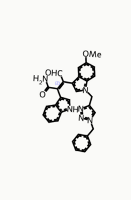 COc1ccc2c(c1)c(/C(C=O)=C(/C(N)=O)c1c[nH]c3ccccc13)cn2Cc1cn(Cc2ccccc2)nn1